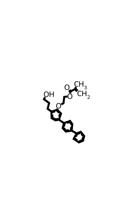 C=C(C)C(=O)OCCOc1cc(-c2ccc(-c3ccccc3)cc2)ccc1CCCO